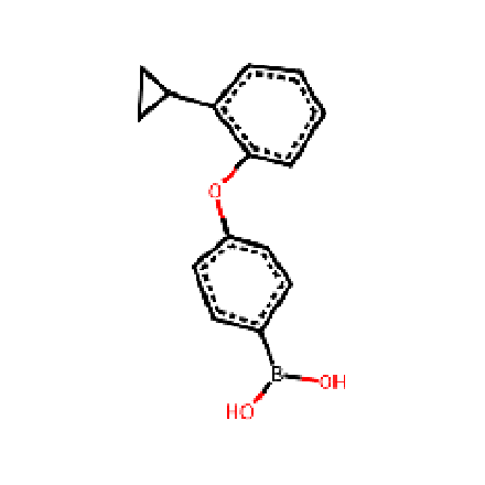 OB(O)c1ccc(Oc2ccccc2C2CC2)cc1